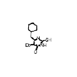 CCc1c(CC2CCCCC2)nc(S)[nH]c1=O